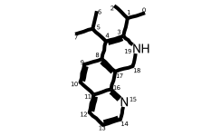 CC(C)C1=C(C(C)C)c2ccc3cccnc3c2CN1